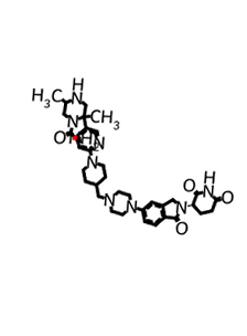 CC1CN(C(N)=O)C(C)(c2ccc(N3CCC(CN4CCN(c5ccc6c(c5)CN([C@H]5CCC(=O)NC5=O)C6=O)CC4)CC3)nc2)CN1